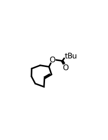 CC(C)(C)C(=O)OC1/C=C/CCCCC1